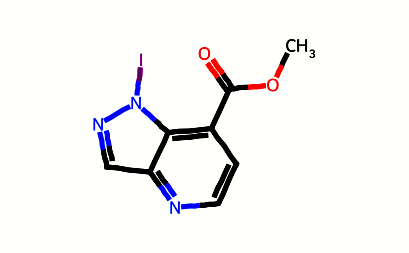 COC(=O)c1ccnc2cnn(I)c12